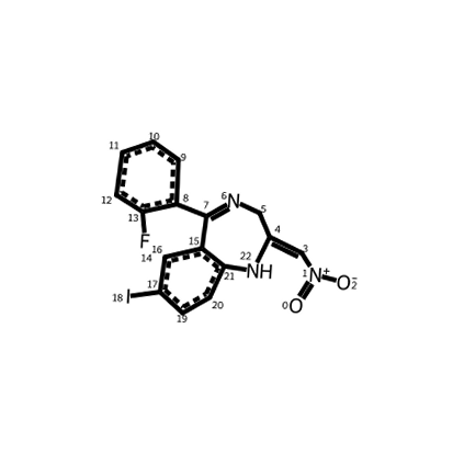 O=[N+]([O-])/C=C1/CN=C(c2ccccc2F)c2cc(I)ccc2N1